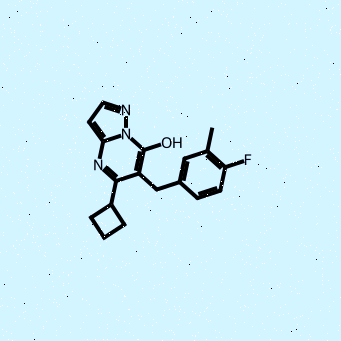 Cc1cc(Cc2c(C3CCC3)nc3ccnn3c2O)ccc1F